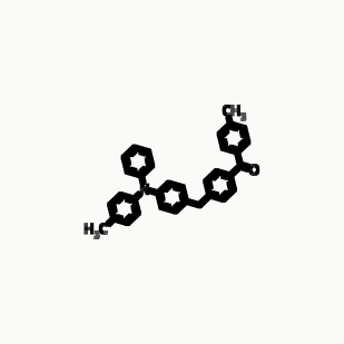 Cc1ccc(C(=O)c2ccc(Cc3ccc(N(c4ccccc4)c4ccc(C)cc4)cc3)cc2)cc1